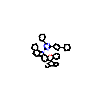 c1ccc(-c2ccc(-c3nc(-c4ccccc4)nc(-n4c5c6c(ccc5c5ccc7ccccc7c54)C4(c5ccccc5O6)c5ccccc5-c5ccccc54)n3)cc2)cc1